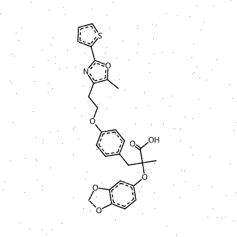 Cc1oc(-c2cccs2)nc1CCOc1ccc(CC(C)(Oc2ccc3c(c2)OCO3)C(=O)O)cc1